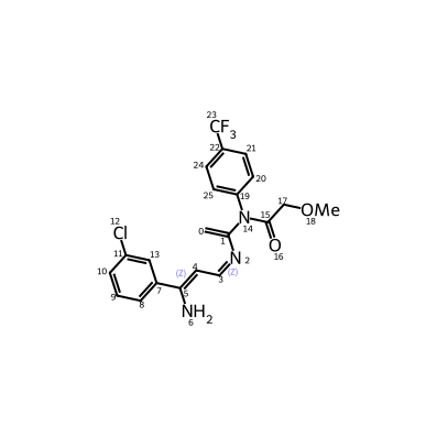 C=C(/N=C\C=C(/N)c1cccc(Cl)c1)N(C(=O)COC)c1ccc(C(F)(F)F)cc1